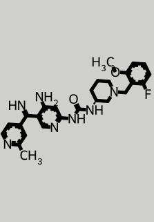 COc1cccc(F)c1CN1CCC[C@@H](NC(=O)Nc2cc(N)c(C(=N)c3ccnc(C)c3)cn2)C1